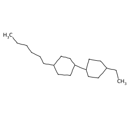 CCCCCCC1CCC(C2CCC(CC)CC2)CC1